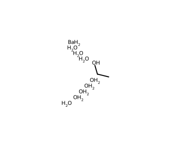 CCO.O.O.O.O.O.O.O.O.[BaH2]